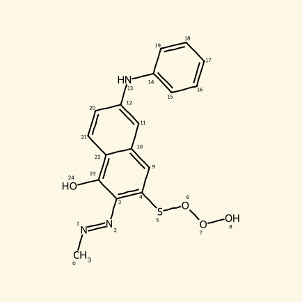 CN=Nc1c(SOOO)cc2cc(Nc3ccccc3)ccc2c1O